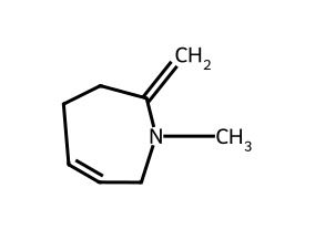 C=C1CCC=CCN1C